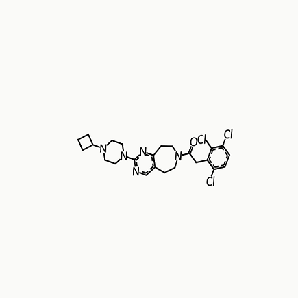 O=C(Cc1c(Cl)ccc(Cl)c1Cl)N1CCc2cnc(N3CCN(C4CCC4)CC3)nc2CC1